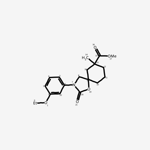 CCOc1cccc(N2CC3(CCCC(C)(C(=O)OC)C3)OC2=O)c1